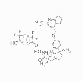 Cc1cc(COc2ccc(C3(N)CCN(CC(C)(C)C(=O)NO)C3=O)cc2)c2ccccc2n1.O=C(O)C(F)(F)F.O=C(O)C(F)(F)F